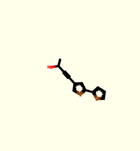 CC(O)C#Cc1csc(-c2cccs2)c1